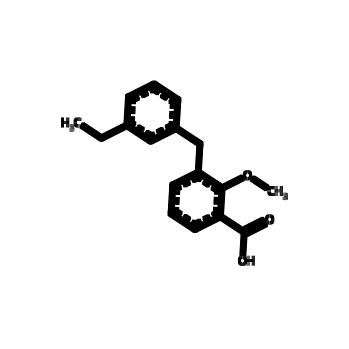 CCc1cccc(Cc2cccc(C(=O)O)c2OC)c1